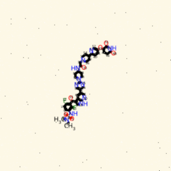 CCN(C)S(=O)(=O)Nc1ccc(F)c(C(=O)c2c[nH]c3ncc(-c4cnc(N5CCC(NC(=O)CN6CCC(c7ccc(OC8CCC(=O)NC8=O)cn7)CC6)CC5)nc4)cc23)c1F